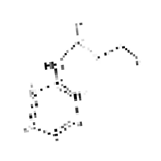 CCC[C@@H](C)Nc1ncccn1